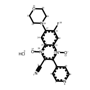 Cl.N#Cc1c(-c2ccncc2)[n+]([O-])c2cc(F)c(N3CCOCC3)cc2[n+]1[O-]